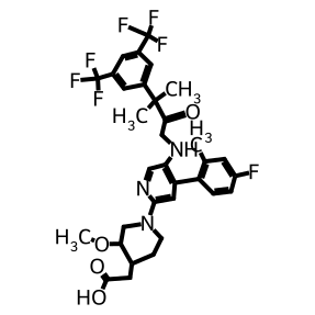 COC1CN(c2cc(-c3ccc(F)cc3C)c(NCC(=O)C(C)(C)c3cc(C(F)(F)F)cc(C(F)(F)F)c3)cn2)CCC1CC(=O)O